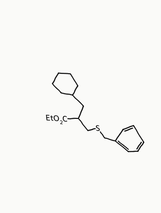 CCOC(=O)C(CSCc1ccccc1)CC1CCCCC1